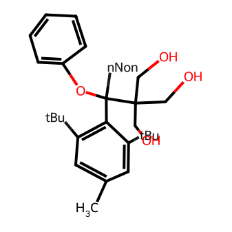 CCCCCCCCCC(Oc1ccccc1)(c1c(C(C)(C)C)cc(C)cc1C(C)(C)C)C(CO)(CO)CO